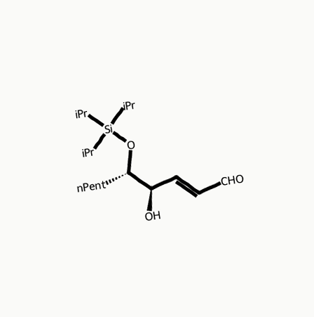 CCCCC[C@H](O[Si](C(C)C)(C(C)C)C(C)C)[C@H](O)/C=C/C=O